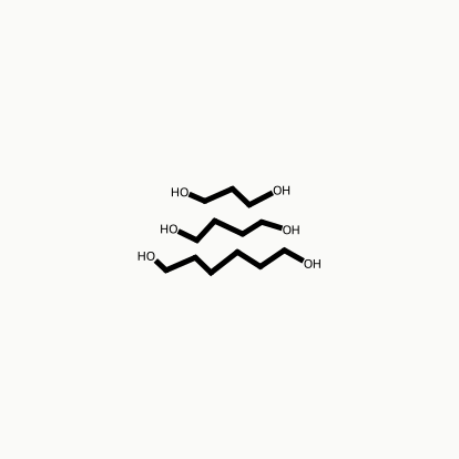 OCCCCCCO.OCCCCO.OCCCO